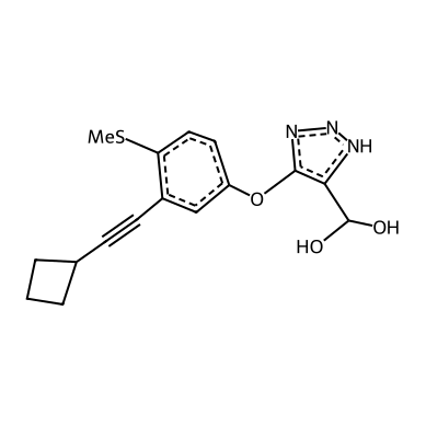 CSc1ccc(Oc2nn[nH]c2C(O)O)cc1C#CC1CCC1